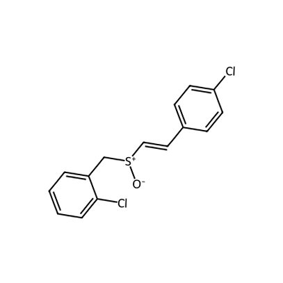 [O-][S+](C=Cc1ccc(Cl)cc1)Cc1ccccc1Cl